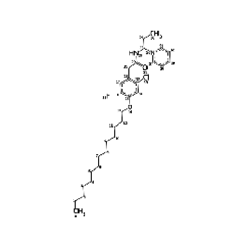 CCCCCCCCCCCCCCOc1ccc(CC(=O)NC(CC)[n+]2ccccc2)c(Cl)c1.[I-]